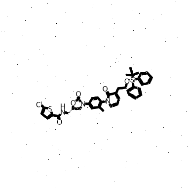 Cc1cc(N2C[C@H](CNC(=O)c3ccc(Cl)s3)OC2=O)ccc1-n1cccc(CCO[Si](c2ccccc2)(c2ccccc2)C(C)(C)C)c1=O